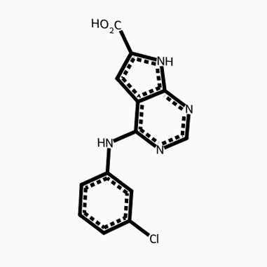 O=C(O)c1cc2c(Nc3cccc(Cl)c3)ncnc2[nH]1